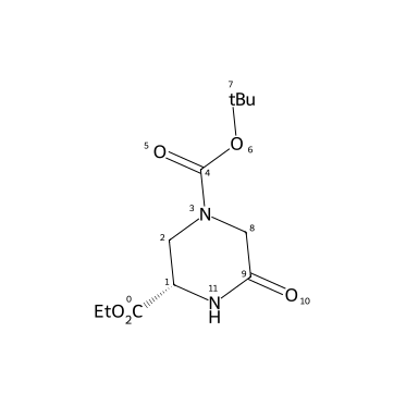 CCOC(=O)[C@@H]1CN(C(=O)OC(C)(C)C)CC(=O)N1